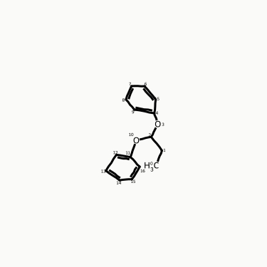 CCC(Oc1[c]cccc1)Oc1ccccc1